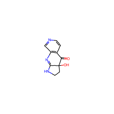 O=C1c2ccncc2N=C2NCCC12O